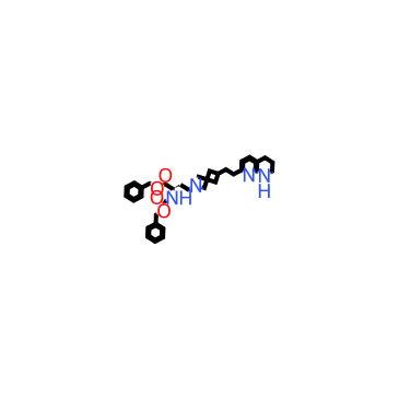 O=C(N[C@@H](CCN1CC2(CC(CCc3ccc4c(n3)NCCC4)C2)C1)C(=O)OCc1ccccc1)OCc1ccccc1